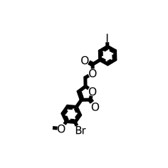 COc1ccc(C2=CC(COC(=O)c3cccc(I)c3)OC2=O)cc1Br